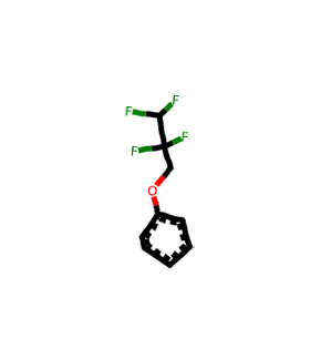 FC(F)C(F)(F)COc1c[c]ccc1